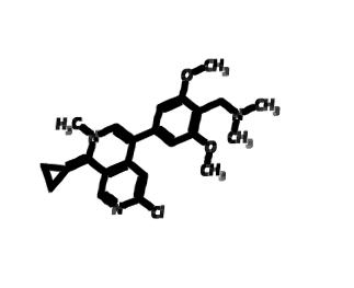 COc1cc(C2=CN(C)C(=C3CC3)c3cnc(Cl)cc32)cc(OC)c1CN(C)C